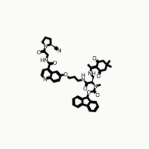 CC(NC[C@H](C(=O)NCCCOc1ccc2nccc(C(=O)NCC(=O)N3CCC[C@H]3C#N)c2c1)N(C)C(=O)OC1c2ccccc2-c2ccccc21)=C1C(=O)CC(C)(C)CC1=O